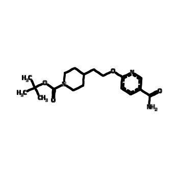 CC(C)(C)OC(=O)N1CCC(CCOc2ccc(C(N)=O)cn2)CC1